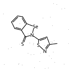 Cc1cc(-n2[se]c3ccccc3c2=S)sn1